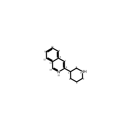 [CH]1NCCCC1c1cc2ccccc2cn1